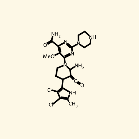 COc1c(C(N)=O)nc(N2CCNCC2)nc1N1CCC(c2[nH]c(C)c(Cl)c2Cl)C(=C=O)C1N